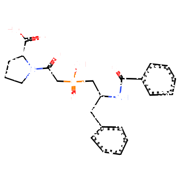 O=C(NC(Cc1ccccc1)CP(=O)(O)CC(=O)N1CCC[C@H]1C(=O)O)c1ccccc1